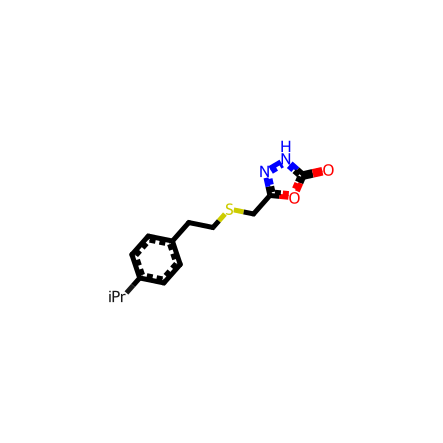 CC(C)c1ccc(CCSCc2n[nH]c(=O)o2)cc1